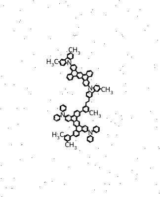 Cc1cc(C)cc(-c2ccc3c(c2)c2cc4c5ccc(N(c6ccccc6)c6ccccc6)cc5c5ccc(-c6cc(C)cc(CCc7ccc8c(c7)c7cc(C)ccc7n8-c7ccc8c(c7)c7ccccc7c7cc9c%10ccc(-n%11c%12ccc(C)cc%12c%12cc(C)ccc%12%11)cc%10c%10ccccc%10c9cc87)c6)cc5c4cc2c2ccc(N(c4ccccc4)c4ccccc4)cc32)c1